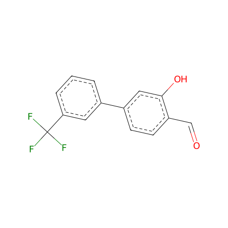 O=Cc1ccc(-c2cccc(C(F)(F)F)c2)cc1O